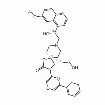 COc1ccc2nccc([C@@H](O)CN3CC[C@@]4(CN(C5=COC=C(C6=CC=CCC6)O5)C(=O)O4)[C@@H](CCO)C3)c2c1